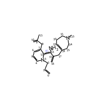 C=CCN1C=CC=C(CC(=C)C)/C1=C(\N)C(=C)CC1=CCCN(C)CC1